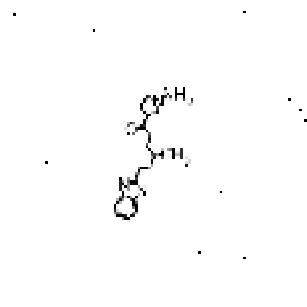 CC(CCC(=O)C1CCN(N)C1)CCc1nc2ccccc2s1